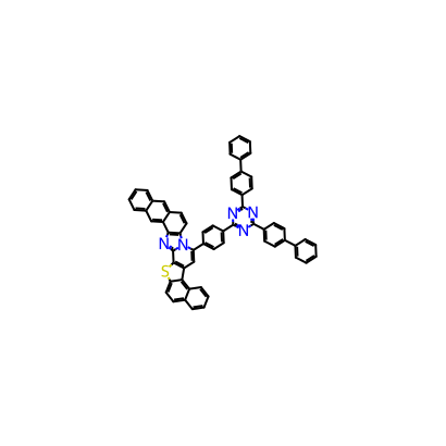 c1ccc(-c2ccc(-c3nc(-c4ccc(-c5ccccc5)cc4)nc(-c4ccc(-c5cc6c(sc7ccc8ccccc8c76)c6nc7c8cc9ccccc9cc8ccc7n56)cc4)n3)cc2)cc1